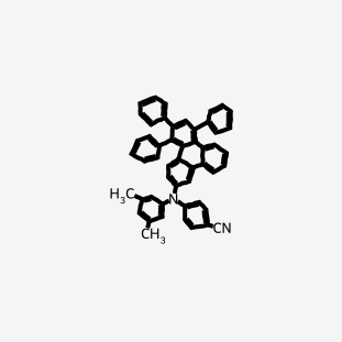 Cc1cc(C)cc(N(c2ccc(C#N)cc2)c2ccc3c(c2)c2ccccc2c2c(-c4ccccc4)cc(-c4ccccc4)c(-c4ccccc4)c32)c1